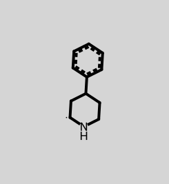 [CH]1CC(c2ccccc2)CCN1